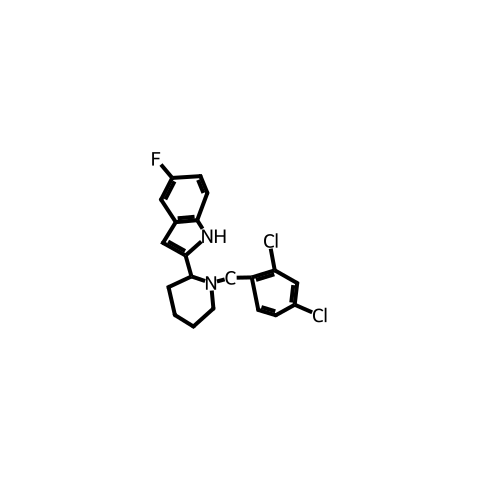 Fc1ccc2[nH]c(C3CCCCN3Cc3ccc(Cl)cc3Cl)cc2c1